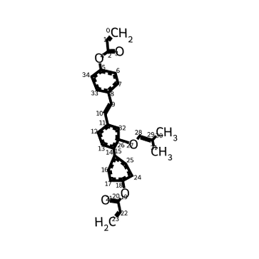 C=CC(=O)Oc1ccc(/C=C/c2ccc(-c3ccc(OC(=O)C=C)cc3)c(OC=C(C)C)c2)cc1